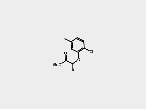 Cc1ccc(Cl)c(O[C@@H](C)C(=O)OCC(C)C)c1